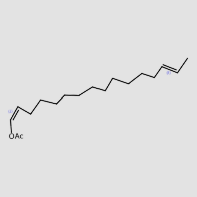 C/C=C/CCCCCCCCCCC/C=C\OC(C)=O